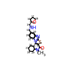 CN(C(=O)c1cn2c(nc3cc(CNC[C@H]4CCCO4)ccc32)s1)C1CCCCC1